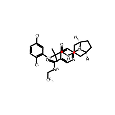 CC(C)(Oc1cc(Cl)ccc1Cl)C(=O)N[C@H]1C[C@H]2CC[C@@H](C1)N2c1ccc(C(=O)NCC(F)(F)F)cn1